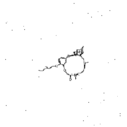 CCOCCOC1=CC=C2CC1OCC(=O)N(C)CCCN(C)Cc1cn(C)c3c1/C(=N/2)N=CN3